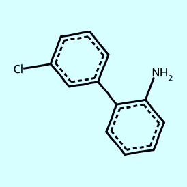 Nc1ccccc1-c1cccc(Cl)c1